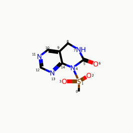 CS(=O)(=O)N1C(=O)NCc2cncnc21